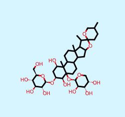 CC1CCC2(OC1)OC1CC3C4CCC5(O[C@H]6OC[C@H](O)[C@H](O)[C@H]6O)[C@@H](O)[C@@H](O[C@@H]6O[C@H](CO)[C@@H](O)[C@H](O)[C@H]6O)C[C@@H](O)C5(C)C4CCC3(C)C1C2C